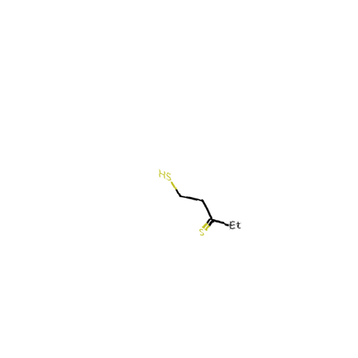 CCC(=S)CCS